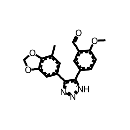 COc1ccc(-c2[nH]nnc2-c2cc(C)c3c(c2)OCO3)cc1C=O